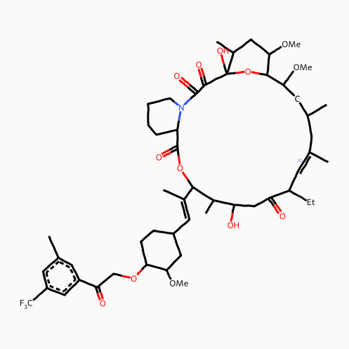 CCC1/C=C(\C)CC(C)CC(OC)C2OC(O)(C(=O)C(=O)N3CCCCC3C(=O)OC(C(C)=CC3CCC(OCC(=O)c4cc(C)cc(C(F)(F)F)c4)C(OC)C3)C(C)C(O)CC1=O)C(C)CC2OC